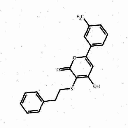 O=c1oc(-c2cccc(C(F)(F)F)c2)cc(O)c1SCCc1ccccc1